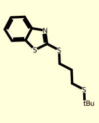 CC(C)(C)SCCCSc1nc2ccccc2s1